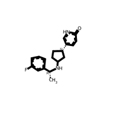 C[C@@H](NC1CC[C@H](c2ccc(=O)[nH]c2)C1)c1cccc(F)c1